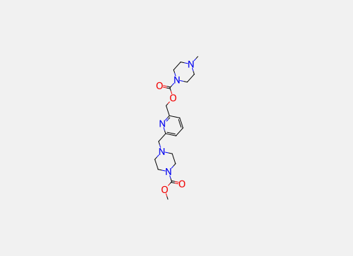 COC(=O)N1CCN(Cc2cccc(COC(=O)N3CCN(C)CC3)n2)CC1